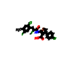 Cc1cc(Cl)c(CC(F)C(=O)Nc2scc(-c3ccc(Br)cc3)c2C(=O)O)cc1F